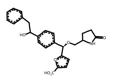 O=C1CCC(CO[C@H](c2ccc(C(O)Cc3ccccc3)cc2)c2ccc(C(=O)O)o2)N1